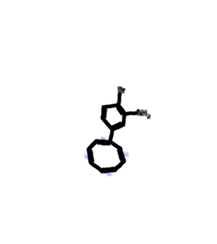 Nc1cc(C2=C/C=C\C=C/C=C\2)ccc1Br